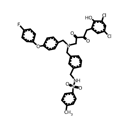 Cc1ccc(S(=O)(=O)NCc2cccc(CN(CC(=O)C(=O)Cc3cc(Cl)cc(Cl)c3O)Cc3ccc(Oc4ccc(F)cc4)cc3)c2)cc1